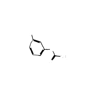 NC(=O)Oc1cccc(Cl)c1